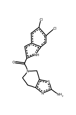 Nc1nc2c(s1)CN(C(=O)c1cc3cc(Cl)c(Cl)cc3[nH]1)CC2